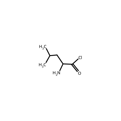 CC(C)CC(N)C(=O)Cl